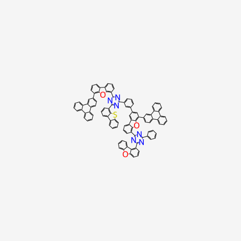 c1ccc(-c2nc(-c3cccc4c3oc3c(-c5ccc6c7ccccc7c7ccccc7c6c5)cc(-c5cccc(-c6nc(-c7cccc8c7oc7c(-c9ccc%10c%11ccccc%11c%11ccccc%11c%10c9)cccc78)nc(-c7cccc8c7sc7ccccc78)n6)c5)cc34)nc(-c3cccc4oc5ccccc5c34)n2)cc1